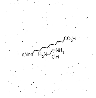 CCCCCCCCCCCCCCCCCC(=O)O.Cl.NCCN